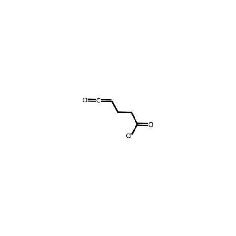 O=C=CCCC(=O)Cl